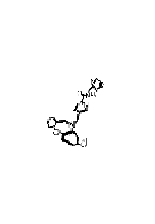 O=C(NCc1ccccn1)c1ccc(CN2Cc3ccccc3Oc3ccc(Cl)cc32)cn1